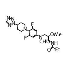 CCC(=O)NC[C@@H](CN(C=O)c1cc(F)c(N2CCC(n3ncnn3)CC2)c(F)c1)OC